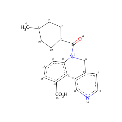 CC1CCC(C(=O)N(Cc2ccncc2)c2cccc(C(=O)O)c2)CC1